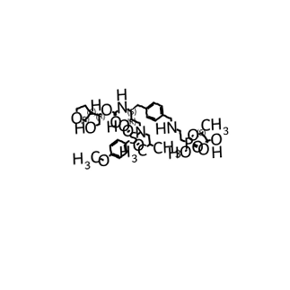 COc1ccc(S(=O)(=O)N(CC(C)C)C[C@@H](O)[C@H](Cc2ccc(CNCCP(=O)(O)O[C@@H](C)C(=O)O)cc2)NC(=O)O[C@H]2CO[C@H]3OCC[C@H]32)cc1